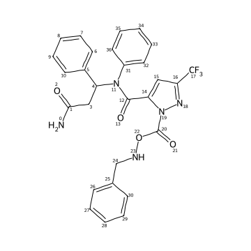 NC(=O)CC(c1ccccc1)N(C(=O)c1cc(C(F)(F)F)nn1C(=O)ONCc1ccccc1)c1ccccc1